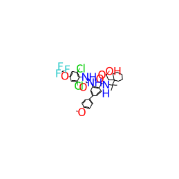 COc1ccc(-c2ccc(C(=O)N[C@H](C(=O)O)C3(C(C)(C)C)CCCCC3)c(NC(=O)Nc3c(Cl)cc(OC(F)(F)F)cc3Cl)c2)cc1